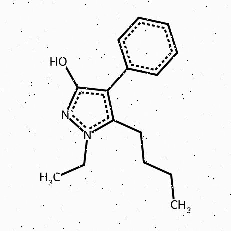 CCCCc1c(-c2ccccc2)c(O)nn1CC